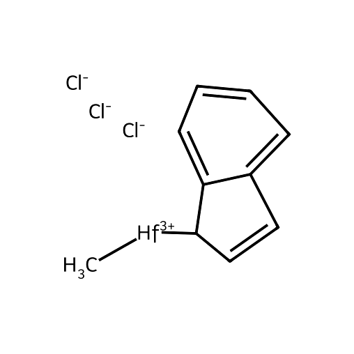 [CH3][Hf+3][CH]1C=Cc2ccccc21.[Cl-].[Cl-].[Cl-]